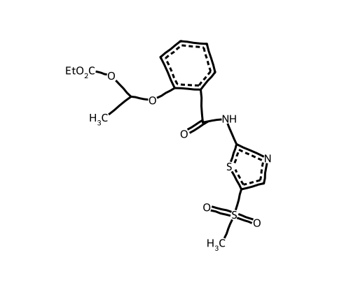 CCOC(=O)OC(C)Oc1ccccc1C(=O)Nc1ncc(S(C)(=O)=O)s1